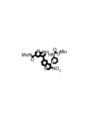 CNC(=O)c1cnc2[nH]cc(-c3ccc4ncc([N+](=O)[O-])c(N5CCCC(NC(=O)OC(C)(C)C)C5)c4c3)c2c1